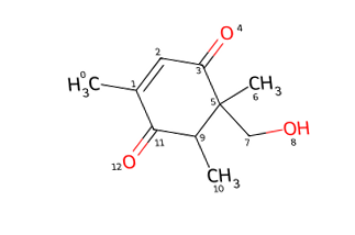 CC1=CC(=O)C(C)(CO)C(C)C1=O